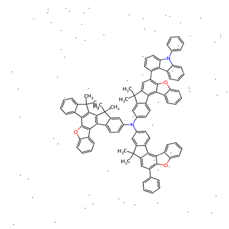 CC1(C)c2cc(N(c3ccc4c(c3)C(C)(C)c3cc(-c5cccc6c5c5ccccc5n6-c5ccccc5)c5oc6ccccc6c5c3-4)c3ccc4c(c3)C(C)(C)c3c5c(c6oc7ccccc7c6c3-4)-c3ccccc3C5(C)C)ccc2-c2c1cc(-c1ccccc1)c1oc3ccccc3c21